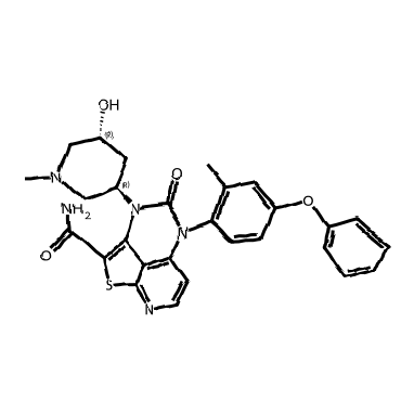 Cc1cc(Oc2ccccc2)ccc1N1C(=O)N([C@@H]2C[C@@H](O)CN(C)C2)c2c(C(N)=O)sc3nccc1c23